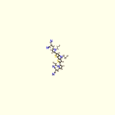 CCCn1c(C=C(C#N)C#N)ccc1-c1cc2c(s1)c1sc(-c3ccc(C=C(C#N)C#N)n3CCC)cc1n2CCC